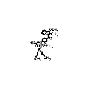 CCCCN(CCCC)CCS(=O)(=O)N(CC(=O)O)c1ccc(C(=O)c2c(C)c(OC)c3ccccn23)cc1OC